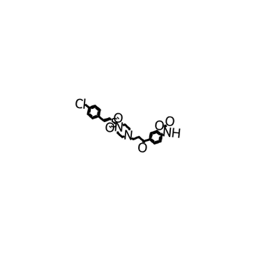 O=C(CCN1CCN(S(=O)(=O)C=Cc2ccc(Cl)cc2)CC1)c1ccc2[nH]c(=O)oc2c1